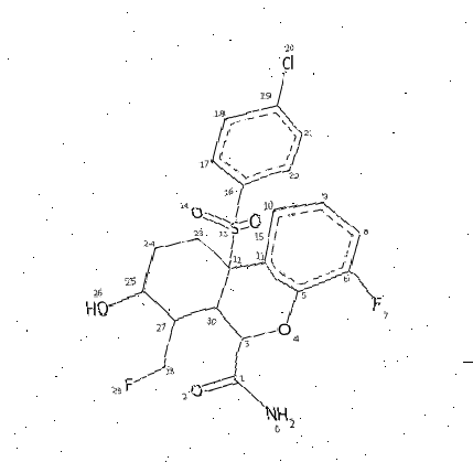 NC(=O)C1Oc2c(F)cccc2C2(S(=O)(=O)c3ccc(Cl)cc3)CCC(O)C([CH]F)C12